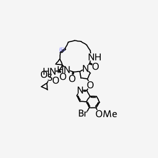 COc1ccc2c(OC3CC4C(=O)NC5(C(=O)NS(=O)(=O)C6CC6)CC5/C=C/CCCCCNC(=O)N4C3)nccc2c1Br